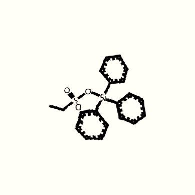 CCS(=O)(=O)O[Si](c1ccccc1)(c1ccccc1)c1ccccc1